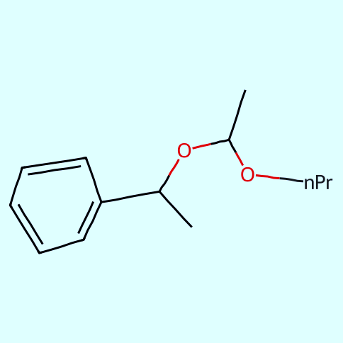 CCCOC(C)OC(C)c1ccccc1